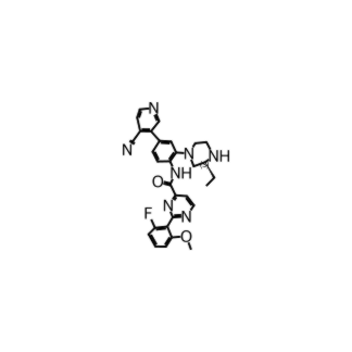 CC[C@H]1CN(c2cc(-c3cnccc3C#N)ccc2NC(=O)c2ccnc(-c3c(F)cccc3OC)n2)CCN1